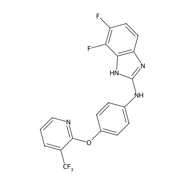 Fc1ccc2nc(Nc3ccc(Oc4ncccc4C(F)(F)F)cc3)[nH]c2c1F